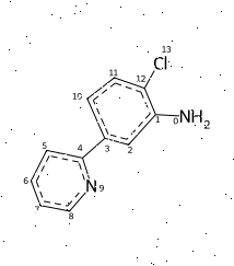 Nc1cc(-c2ccccn2)ccc1Cl